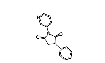 O=C1CC(c2ccccc2)C(=O)N1c1cccnc1